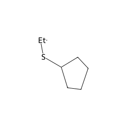 C[CH]SC1CCCC1